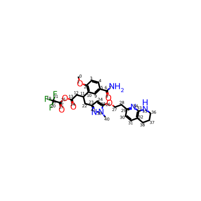 COc1ccc(C(N)=O)cc1C(CC(=O)OC(=O)C(F)(F)F)Cc1cc(OCCc2ccc3c(n2)NCCC3)n(C)n1